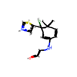 CC1(C)C=CC(NCC=O)=CC1(Cl)c1cncs1